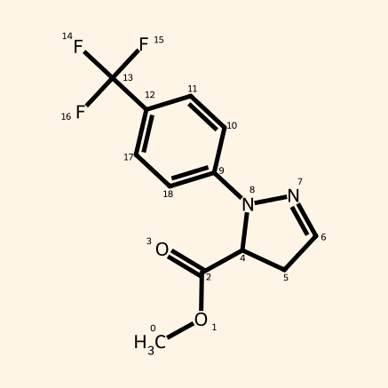 COC(=O)C1CC=NN1c1ccc(C(F)(F)F)cc1